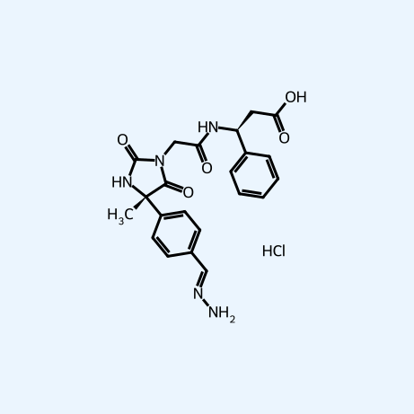 C[C@@]1(c2ccc(C=NN)cc2)NC(=O)N(CC(=O)N[C@@H](CC(=O)O)c2ccccc2)C1=O.Cl